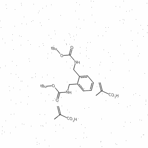 C=C(C)C(=O)O.C=C(C)C(=O)O.CC(C)(C)OC(=O)NCc1ccccc1CNC(=O)OC(C)(C)C